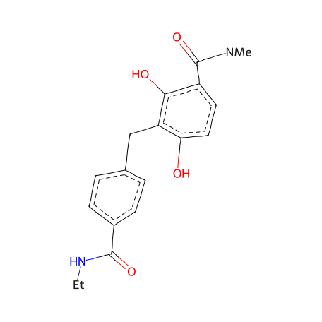 CCNC(=O)c1ccc(Cc2c(O)ccc(C(=O)NC)c2O)cc1